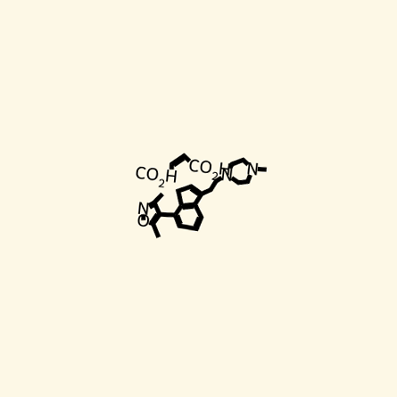 Cc1noc(C)c1-c1cccc2c1CC=C2CCN1CCN(C)CC1.O=C(O)/C=C\C(=O)O